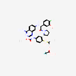 COC(=O)Nc1ccc(S(=O)(=O)C(C)C)c([C@H]2CCCN2C(=O)[C@H](Nc2ccc3c(N)nccc3c2)c2ccc(Cl)c(OC)c2)c1.O=C(O)C(F)(F)F